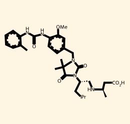 COc1cc(CN2C(=O)N([C@H](CN[C@H](C)CC(=O)O)CC(C)C)C(=O)C2(C)C)ccc1NC(=O)Nc1ccccc1C